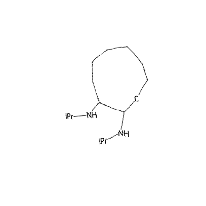 CC(C)NC1CCCCCCCC1NC(C)C